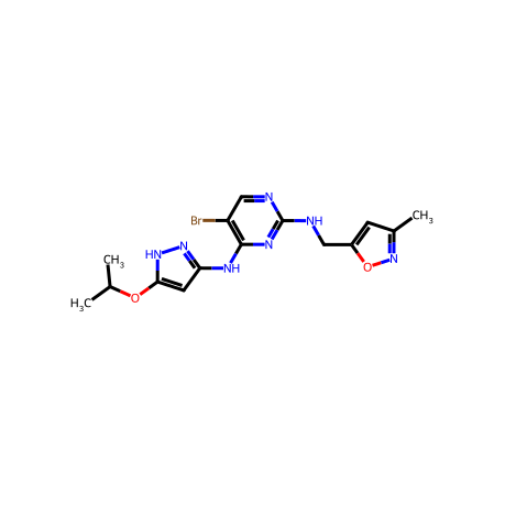 Cc1cc(CNc2ncc(Br)c(Nc3cc(OC(C)C)[nH]n3)n2)on1